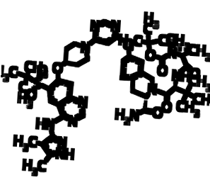 Cc1[nH]nc(Nc2ncnc3cc(OC4CCN(c5cc(Oc6ccc7c(c6)CN(C(=O)[C@@H](NC(=O)[C@H](C)N(C)C(=O)OC(C)(C)C)C(C)(C)C)[C@H](C(N)=O)C7)ncn5)CC4)c(S(=O)(=O)C(C)(C)C)cc23)c1C